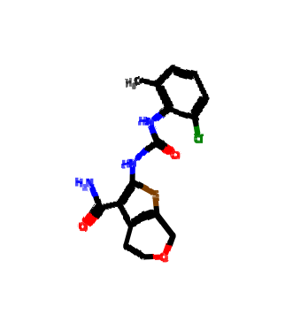 Cc1cccc(Cl)c1NC(=O)Nc1sc2c(c1C(N)=O)CCOC2